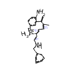 C=C(\C(C)=C/C=C(P)\C=C\NCc1ccccc1)c1cc(Br)ccc1N